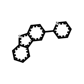 [c]1cc2sc3ccccc3c2cc1-c1ccccn1